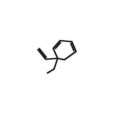 C=CC1(CC)C=CC=CC1